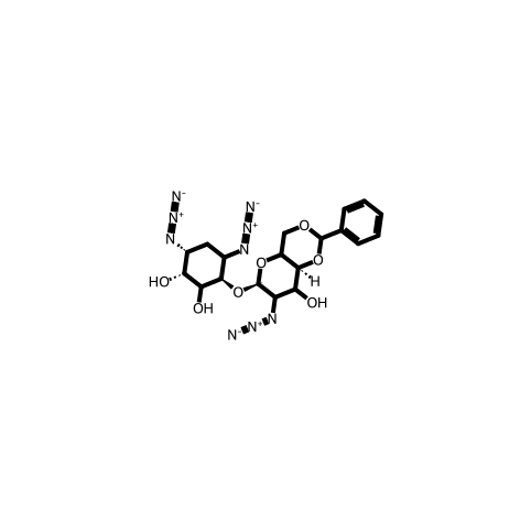 [N-]=[N+]=NC1C(O)[C@@H]2OC(c3ccccc3)OCC2O[C@@H]1O[C@@H]1C(N=[N+]=[N-])C[C@@H](N=[N+]=[N-])[C@@H](O)C1O